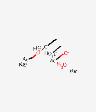 CC(=O)O.CC(=O)O.CC(=O)[O-].CC(=O)[O-].O.[Na+].[Na+]